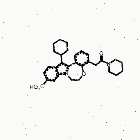 O=C(O)c1ccc2c(C3CCCCC3)c3n(c2c1)CCOc1c(CC(=O)N2CCCCC2)cccc1-3